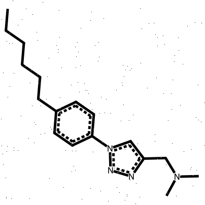 CCCCCCc1ccc(-n2cc(CN(C)C)nn2)cc1